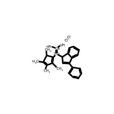 CC[CH2][Ge]([CH2]CC)=[Zr+2]([C]1=C(C)C(C)=C(C)C1C)[CH]1C=C(c2ccccc2)c2ccccc21.[Cl-].[Cl-]